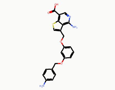 Nc1ccc(COc2cccc(OCc3csc4c(C(=O)O)cnc(N)c34)c2)cc1